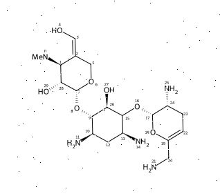 CN[C@H]1/C(=C\O)CO[C@H](O[C@H]2[C@H](N)C[C@H](N)C(O[C@H]3OC(CN)=CC[C@H]3N)[C@@H]2O)[C@@H]1O